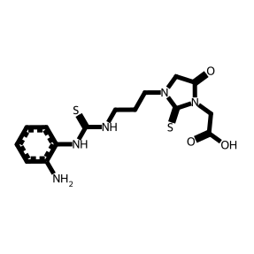 Nc1ccccc1NC(=S)NCCCN1CC(=O)N(CC(=O)O)C1=S